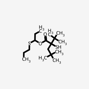 CCCSC(CC)OC(=O)C(S)(CC(C)(C)C)C(C)(C)C